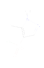 Cc1c(S(=O)(=O)Cl)cnn1C